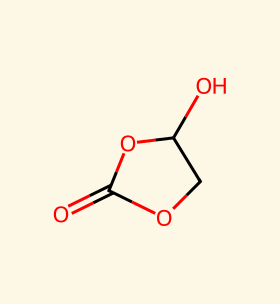 O=C1OCC(O)O1